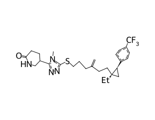 C=C(CCCSc1nnc(C2CCC(=O)NC2)n1C)CC[C@@]1(CC)C[C@@H]1c1ccc(C(F)(F)F)cc1